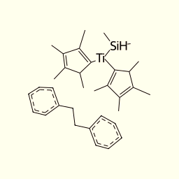 CC1=C(C)C(C)[C]([Ti]([C]2=C(C)C(C)=C(C)C2C)[SiH](C)C)=C1C.c1ccc(CCc2ccccc2)cc1